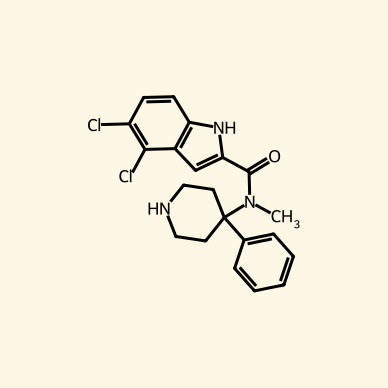 CN(C(=O)c1cc2c(Cl)c(Cl)ccc2[nH]1)C1(c2ccccc2)CCNCC1